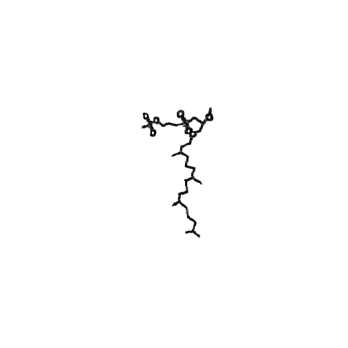 COC(COCCC(C)CCCC(C)CCCC(C)CCCC(C)C)CS(=O)(=O)CCCOS(C)(=O)=O